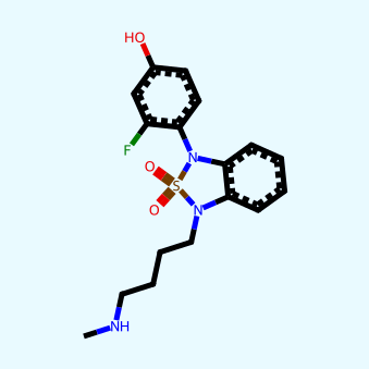 CNCCCCN1c2ccccc2N(c2ccc(O)cc2F)S1(=O)=O